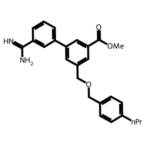 CCCc1ccc(COCc2cc(C(=O)OC)cc(-c3cccc(C(=N)N)c3)c2)cc1